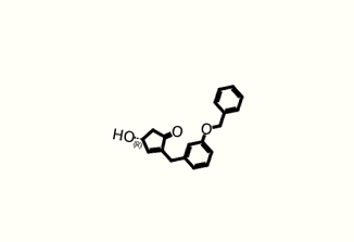 O=C1C[C@@H](O)C=C1Cc1cccc(OCc2ccccc2)c1